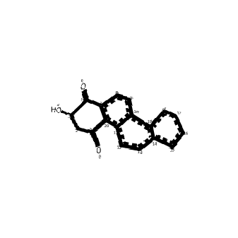 O=C1C[C@@H](O)C(=O)c2ccc3c(ccc4ccccc43)c21